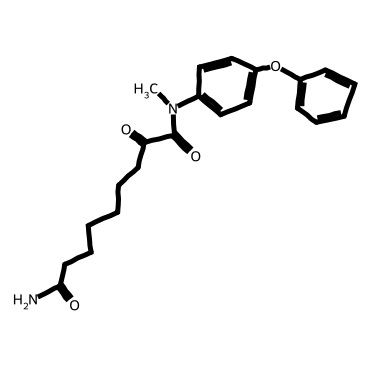 CN(C(=O)C(=O)CCCCCCC(N)=O)c1ccc(Oc2ccccc2)cc1